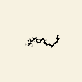 CC/C=C\C/C=C\C/C=C\C/C=C\C/C=C\C/C=C\CC(NC)C(=O)O